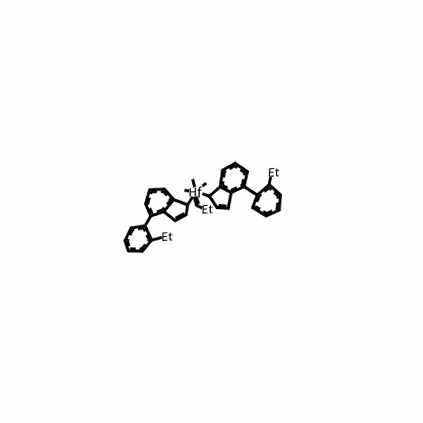 CC[CH]=[Hf]([CH3])([CH3])([CH3])([CH]1C=Cc2c(-c3ccccc3CC)cccc21)[CH]1C=Cc2c(-c3ccccc3CC)cccc21